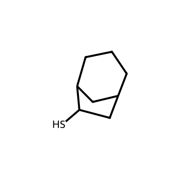 SC1CC2CCCC1C2